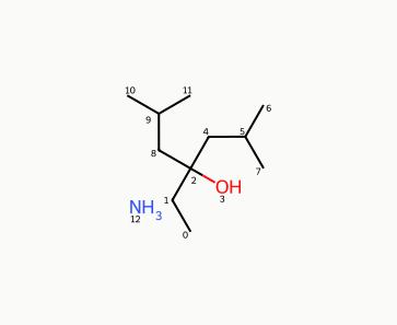 CCC(O)(CC(C)C)CC(C)C.N